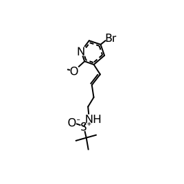 COc1ncc(Br)cc1C=CCCN[S+]([O-])C(C)(C)C